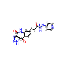 O=C(CCc1ccc2c(=O)c3[nH]nnc3c(=O)[nH]c2c1)NNc1ccncc1